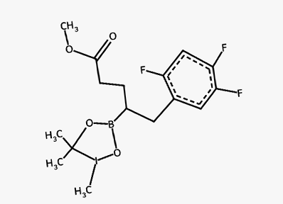 COC(=O)CCC(Cc1cc(F)c(F)cc1F)B1OI(C)C(C)(C)O1